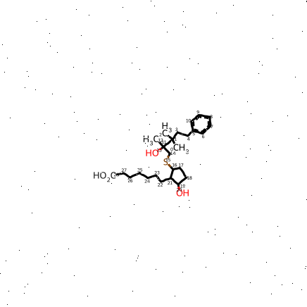 CC(C)(CCc1ccccc1)C(C)(O)CSC1CCC(O)C1CCCCCCC(=O)O